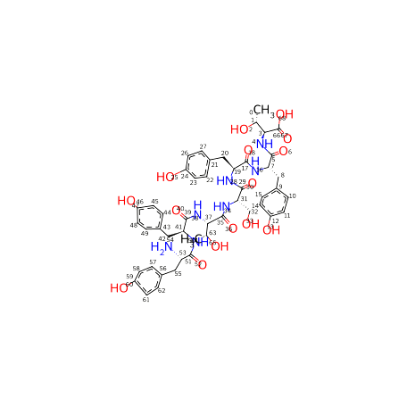 C[C@@H](O)[C@H](NC(=O)[C@H](Cc1ccc(O)cc1)NC(=O)[C@H](Cc1ccc(O)cc1)NC(=O)[C@H](CO)NC(=O)[C@@H](NC(=O)[C@H](Cc1ccc(O)cc1)NC(=O)[C@@H](N)Cc1ccc(O)cc1)[C@@H](C)O)C(=O)O